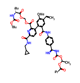 C=Cc1cc(C(=O)Nc2ccc(C(=N)NC(=O)OC(C)OC(=O)C(C)C)cc2)c(-c2ccc(C(=O)NCC3CC3)nc2C(=O)OCOC(=O)[C@@H](NC(=O)OC(C)(C)C)[C@@H](C)CC)cc1OC